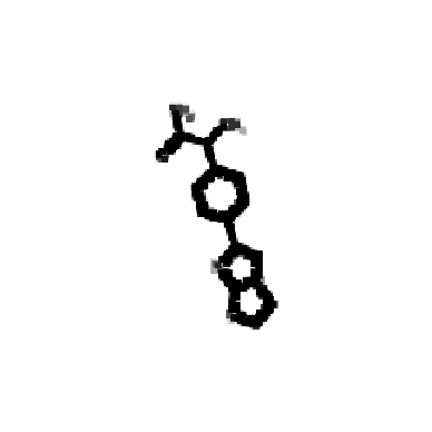 CC(C(N)=O)c1ccc(-c2cn3ccsc3n2)cc1